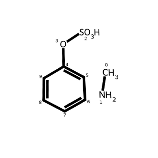 CN.O=S(=O)(O)Oc1ccccc1